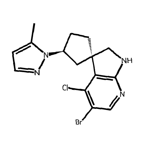 Cc1ccnn1[C@H]1CC[C@@]2(CNc3ncc(Br)c(Cl)c32)C1